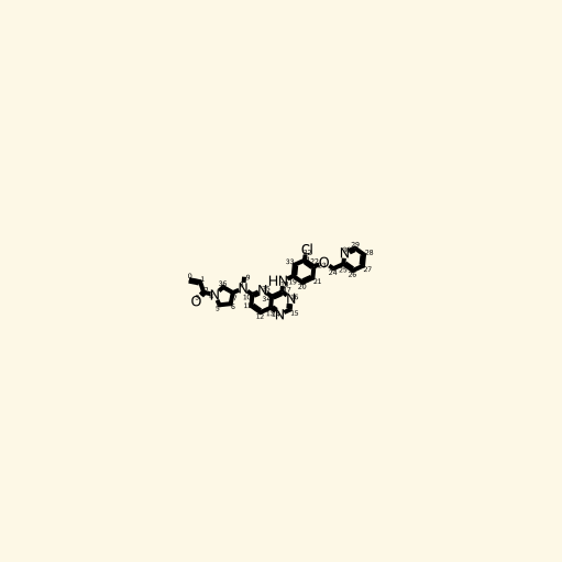 C=CC(=O)N1CCC(N(C)c2ccc3ncnc(Nc4ccc(OCc5ccccn5)c(Cl)c4)c3n2)C1